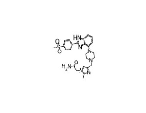 Cc1nc(CN2CCN(c3cccc4[nH]c(-c5ccc(S(C)(=O)=O)cc5)nc34)CC2)cn1CC(N)=O